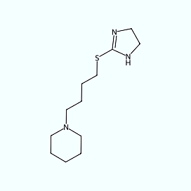 C1CCN(CCCCSC2=NCCN2)CC1